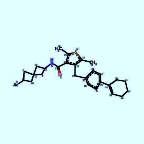 CC(=O)C1CC2(CC(NC(=O)c3c(C)sc(C)c3Cc3ccc(C4=CCCCC4)cc3)C2)C1